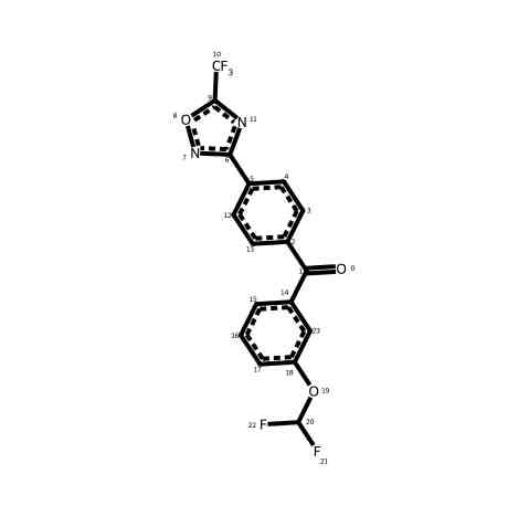 O=C(c1ccc(-c2noc(C(F)(F)F)n2)cc1)c1cccc(OC(F)F)c1